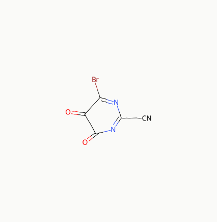 N#CC1=NC(=O)C(=O)C(Br)=N1